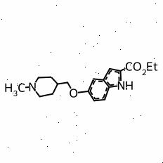 CCOC(=O)c1cc2cc(OCC3CCN(C)CC3)ccc2[nH]1